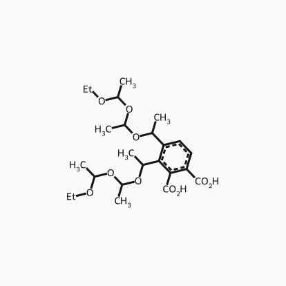 CCOC(C)OC(C)OC(C)c1ccc(C(=O)O)c(C(=O)O)c1C(C)OC(C)OC(C)OCC